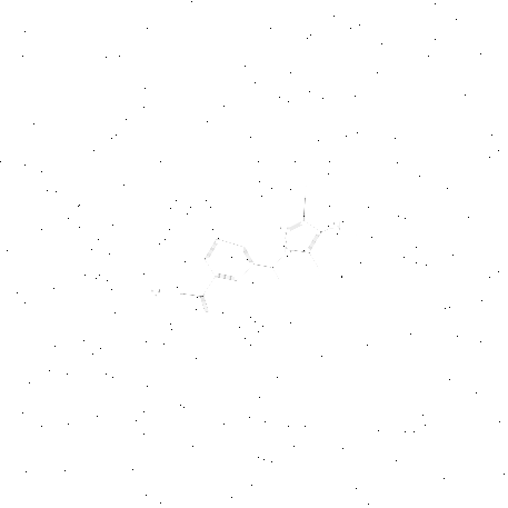 COC(=O)c1cccc(C(C)n2nc(C)c([N+](=O)[O-])c2C)c1